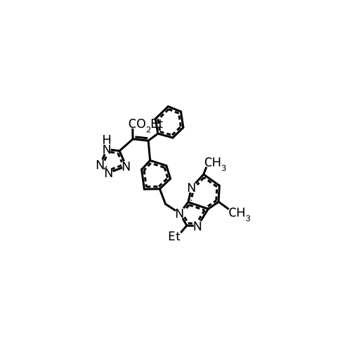 CCOC(=O)/C(=C(\c1ccccc1)c1ccc(Cn2c(CC)nc3c(C)cc(C)nc32)cc1)c1nnn[nH]1